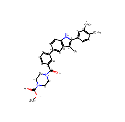 COc1ccc(-c2[nH]c3ccc(-c4cccc(C(=O)N5CCN(C(=O)OC(C)(C)C)CC5)c4)cc3c2C(C)C)cc1OC